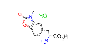 Cl.Cn1c(=O)oc2ccc(CC(N)C(=O)O)cc21